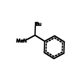 CCC(C)C(NC)c1ccccc1